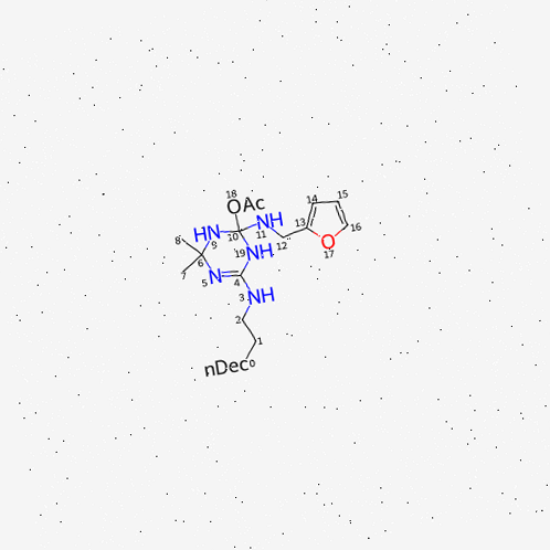 CCCCCCCCCCCCNC1=NC(C)(C)NC(NCc2ccco2)(OC(C)=O)N1